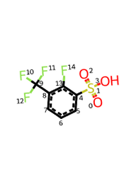 O=S(=O)(O)c1cccc(C(F)(F)F)c1F